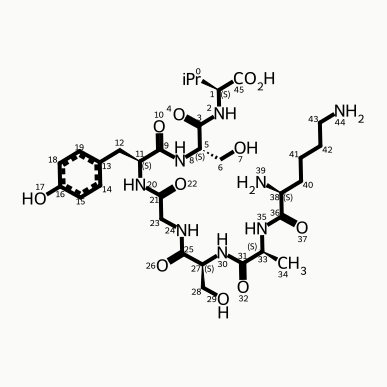 CC(C)[C@H](NC(=O)[C@H](CO)NC(=O)[C@H](Cc1ccc(O)cc1)NC(=O)CNC(=O)[C@H](CO)NC(=O)[C@H](C)NC(=O)[C@@H](N)CCCCN)C(=O)O